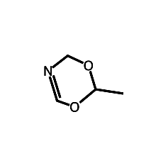 CC1OC=NCO1